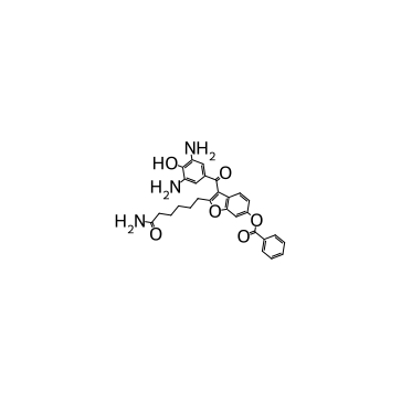 NC(=O)CCCCCc1oc2cc(OC(=O)c3ccccc3)ccc2c1C(=O)c1cc(N)c(O)c(N)c1